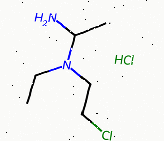 Cl.[CH2]C(N)N(CC)CCCl